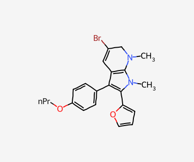 CCCOc1ccc(-c2c3c(n(C)c2-c2ccco2)N(C)CC(Br)=C3)cc1